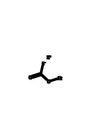 CCOC(=O)[S-].[K+]